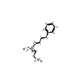 CCC[SiH](C)OCCCc1ccccc1